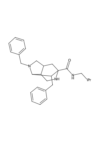 CC(C)CNC(=O)C12CC3CN(Cc4ccccc4)C(C3CN1)C2Cc1ccccc1